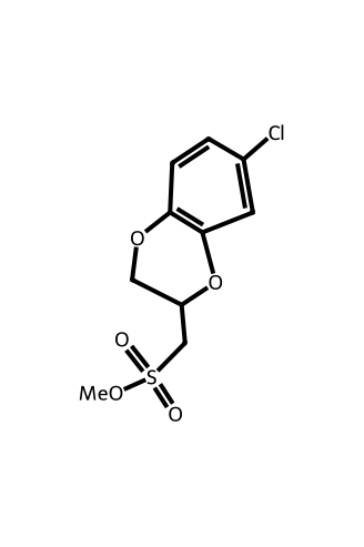 COS(=O)(=O)CC1COc2ccc(Cl)cc2O1